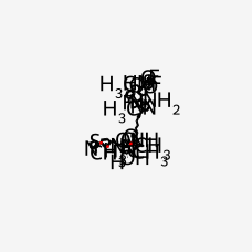 Cc1ncsc1-c1ccc(CNC(=O)[C@@H]2C[C@@H](O)CN2C(=O)[C@@H](NC(=O)CCCCC#Cc2cnc(N)c3c(-c4ccc(NS(=O)(=O)C(F)F)c(O[C@@H](C)c5ccc(F)cc5)c4)nn(C)c23)C(C)(C)C)cc1